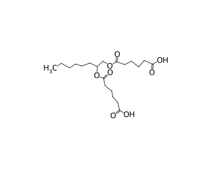 CCCCCCC(COC(=O)CCCCC(=O)O)OC(=O)CCCCC(=O)O